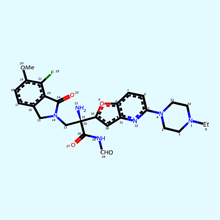 CCN1CCN(c2ccc3oc([C@@](N)(CN4Cc5ccc(OC)c(F)c5C4=O)C(=O)NC=O)cc3n2)CC1